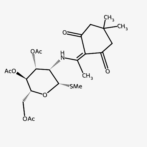 CS[C@@H]1O[C@H](COC(C)=O)[C@@H](OC(C)=O)[C@H](OC(C)=O)[C@@H]1NC(C)=C1C(=O)CC(C)(C)CC1=O